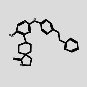 Cc1cnc(Nc2ccc(CCc3ccccc3)cc2)nc1N1CCC2(CCNC2=O)CC1